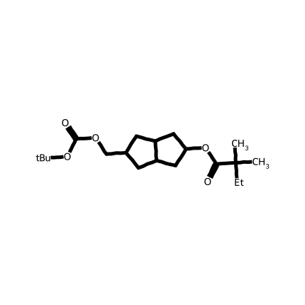 CCC(C)(C)C(=O)OC1CC2CC(COC(=O)OC(C)(C)C)CC2C1